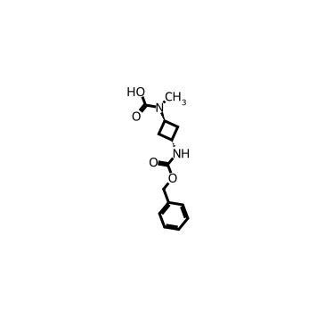 CN(C(=O)O)[C@H]1C[C@H](NC(=O)OCc2ccccc2)C1